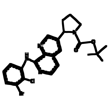 CC(C)(C)OC(=O)N1CCCC1c1cnc2c(Nc3cccc(Br)c3Cl)nccc2c1